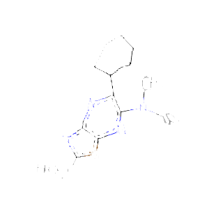 CC(C)N(C)c1nc2sc(C(=O)O)nc2nc1C1CCCCC1